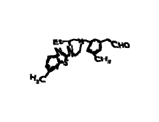 CC[C@H]1CN(Cc2cc(C)cc(CC=O)c2)CCN1c1nc2ccc(C)cc2s1